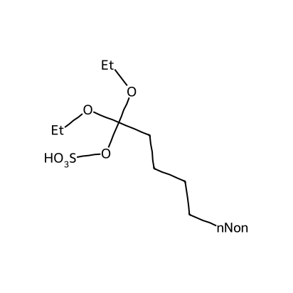 CCCCCCCCCCCCCC(OCC)(OCC)OS(=O)(=O)O